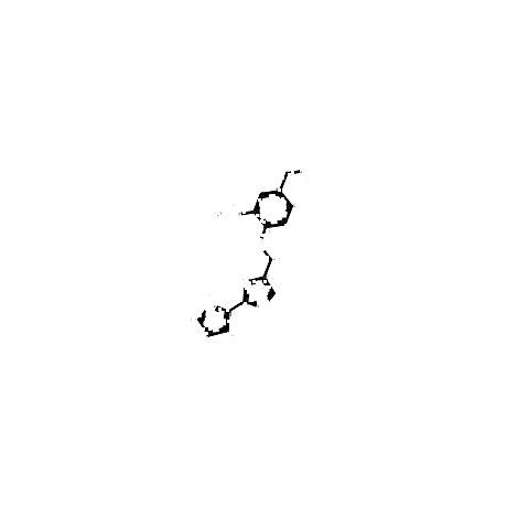 COc1cc(CO)ccc1OCc1coc(-c2ccco2)n1